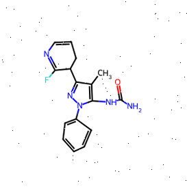 Cc1c(C2CC=CN=C2F)nn(-c2ccccc2)c1NC(N)=O